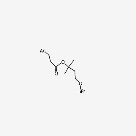 CC(=O)CCC(=O)OC(C)(C)CCOC(C)C